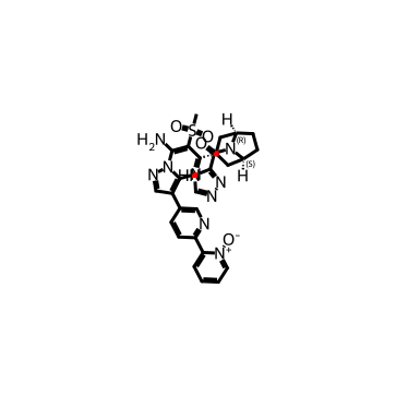 CS(=O)(=O)c1c([C@@H]2C[C@H]3CC[C@@H](C2)N3C(=O)c2nnc[nH]2)nc2c(-c3ccc(-c4cccc[n+]4[O-])nc3)cnn2c1N